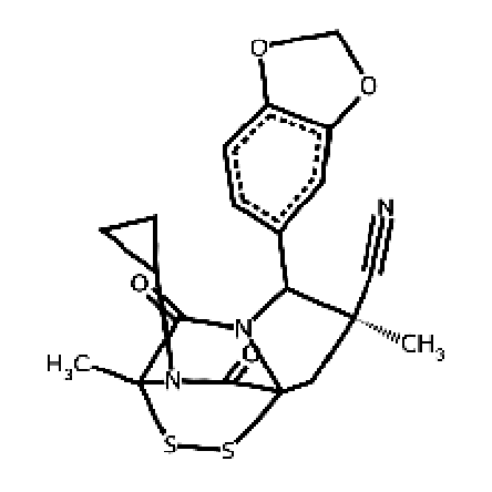 CC12SSC3(C[C@](C)(C#N)C(c4ccc5c(c4)OCO5)N3C1=O)C(=O)N2C1CC1